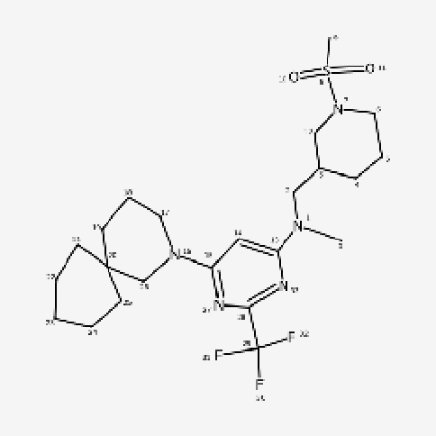 CN(CC1CCCN(S(C)(=O)=O)C1)c1cc(N2CCCC3(CCCCC3)C2)nc(C(F)(F)F)n1